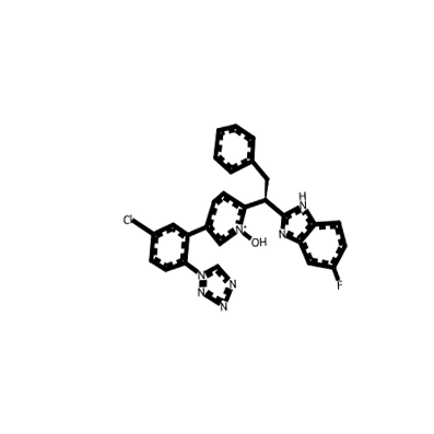 O[n+]1cc(-c2cc(Cl)ccc2-n2cnnn2)ccc1[C@@H](Cc1ccccc1)c1nc2cc(F)ccc2[nH]1